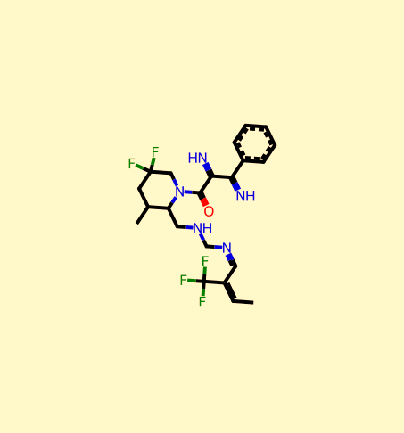 C/C=C(\C=N/CNCC1C(C)CC(F)(F)CN1C(=O)C(=N)C(=N)c1ccccc1)C(F)(F)F